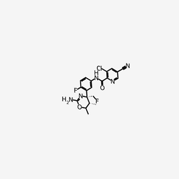 CC1OC(N)=N[C@@](CF)(c2cc(NC(=O)c3ncc(C#N)cc3Cl)ccc2F)[C@@H]1C